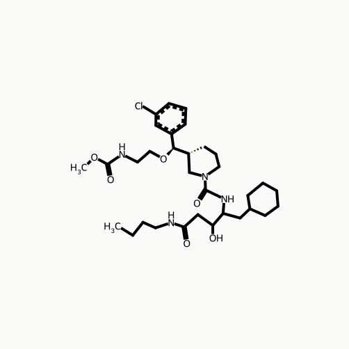 CCCCNC(=O)CC(O)C(CC1CCCCC1)NC(=O)N1CCC[C@@H]([C@@H](OCCNC(=O)OC)c2cccc(Cl)c2)C1